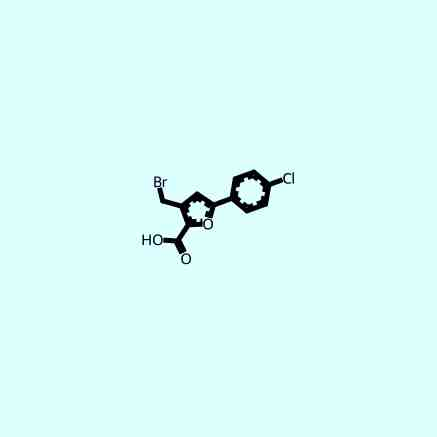 O=C(O)c1oc(-c2ccc(Cl)cc2)cc1CBr